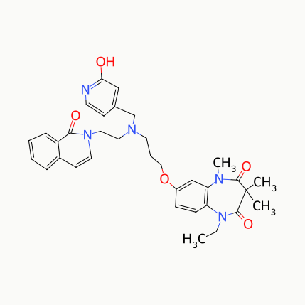 CCN1C(=O)C(C)(C)C(=O)N(C)c2cc(OCCCN(CCn3ccc4ccccc4c3=O)Cc3ccnc(O)c3)ccc21